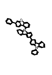 c1ccc(-c2ccc3c(c2)oc2cccc(-n4c5ccccc5c5cc(-c6ccc7c(c6)c6ccccc6n7-c6ccccc6)ccc54)c23)cc1